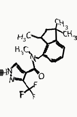 CC1CC(C)(C)c2cccc(N(C)C(=O)c3c[nH]nc3C(F)(F)F)c21